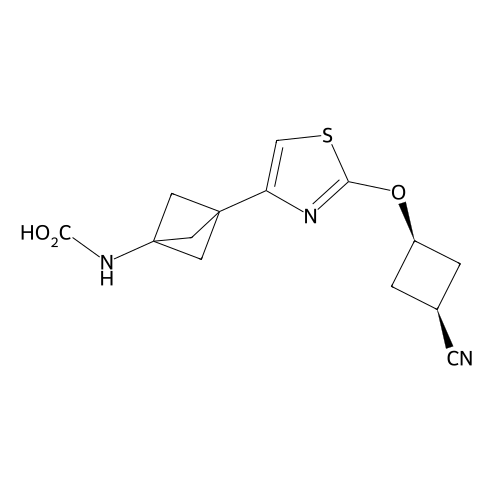 N#C[C@H]1C[C@@H](Oc2nc(C34CC(NC(=O)O)(C3)C4)cs2)C1